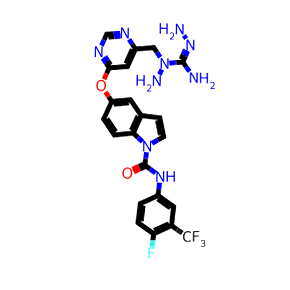 N/N=C(/N)N(N)Cc1cc(Oc2ccc3c(ccn3C(=O)Nc3ccc(F)c(C(F)(F)F)c3)c2)ncn1